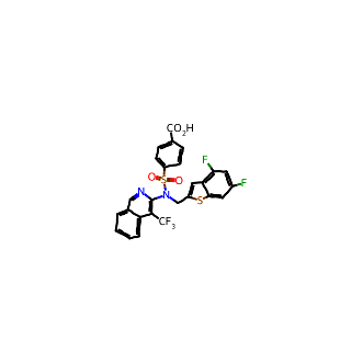 O=C(O)c1ccc(S(=O)(=O)N(Cc2cc3c(F)cc(F)cc3s2)c2ncc3ccccc3c2C(F)(F)F)cc1